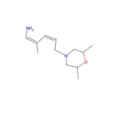 CC(/C=C\CN1CC(C)OC(C)C1)=C/N